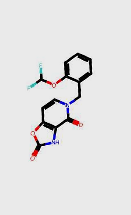 O=c1[nH]c2c(=O)n(Cc3ccccc3OC(F)F)ccc2o1